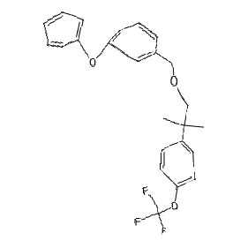 CC(C)(COCc1cccc(Oc2ccccc2)c1)c1ccc(OC(F)(F)F)cc1